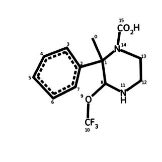 CC1(c2ccccc2)C(OC(F)(F)F)NCCN1C(=O)O